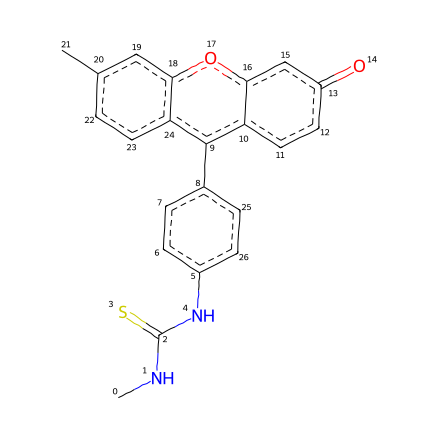 CNC(=S)Nc1ccc(-c2c3ccc(=O)cc-3oc3cc(C)ccc23)cc1